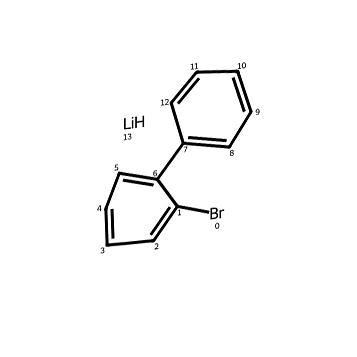 Brc1ccccc1-c1ccccc1.[LiH]